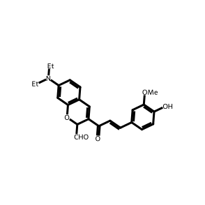 CCN(CC)c1ccc2c(c1)OC(C=O)C(C(=O)C=Cc1ccc(O)c(OC)c1)=C2